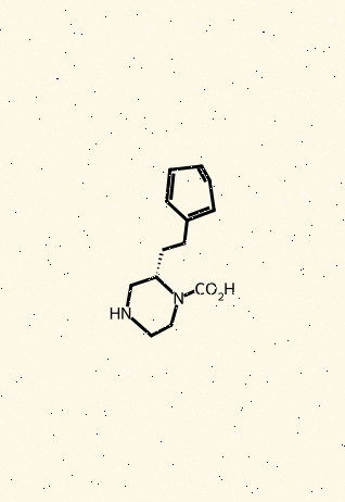 O=C(O)N1CCNC[C@@H]1CCc1ccccc1